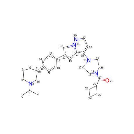 CC(C)N1CCC[C@H](c2ccc(-c3cc4c(N5CCN(C(=O)C6CCC6)CC5)ccnn4c3)cc2)C1